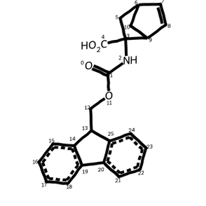 O=C(NC1(C(=O)O)CC2C=CC1C2)OCC1c2ccccc2-c2ccccc21